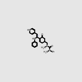 CC(C)N(N)C(=O)N(N)CC1CC=C(/C(=C/C2=CCNC=C2)Nc2ccccc2)C(=O)C1